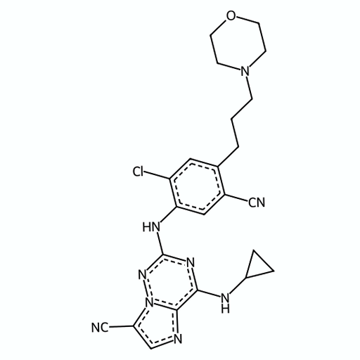 N#Cc1cc(Nc2nc(NC3CC3)c3ncc(C#N)n3n2)c(Cl)cc1CCCN1CCOCC1